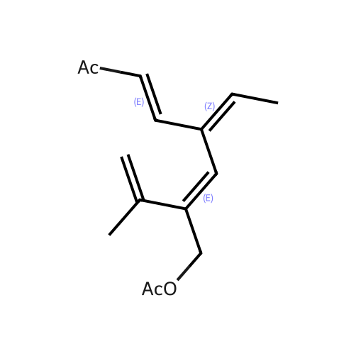 C=C(C)\C(=C/C(=C\C)/C=C/C(C)=O)COC(C)=O